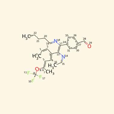 C\C=C/C(=C\C=C(/C)OC(F)(F)F)C(/N=C\C)=C(\N=C\CCCC)c1ccc(C=O)cc1